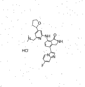 CN(C)Cc1cc(C2CCCO2)cc(Nc2ccc(-c3cnc4cc(F)ccn34)c3c2C(=O)NC3)n1.Cl